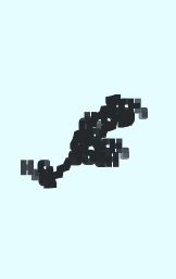 CCC1(CCCCOC(=C(C)C(=O)O)C23CC4CC(OCCCCC5(CC)CCO5)(CC(OCCCCC5(CC)CCO5)(C4)C2)C3)CCO1